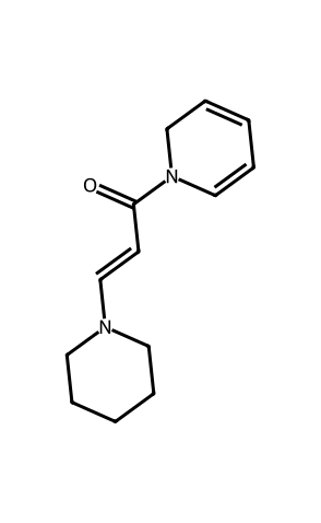 O=C(C=CN1CCCCC1)N1C=CC=CC1